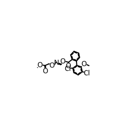 COC(=O)CON=COC(=O)c1ccccc1-c1c(Cl)ccc(Cl)c1OC